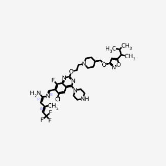 CC(/C=C(N)\N=C\c1c(Cl)cc2c(N3CCNCC3)nc(OCCN3CCC(COc4cc(C(C)C(C)C)on4)CC3)nc2c1F)=C\C(F)(F)F